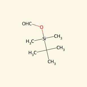 CC(C)(C)[Si](C)(C)OC=O